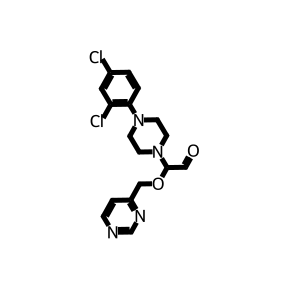 O=CC(OCc1ccncn1)N1CCN(c2ccc(Cl)cc2Cl)CC1